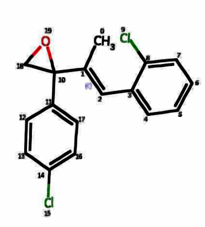 C/C(=C\c1ccccc1Cl)C1(c2ccc(Cl)cc2)CO1